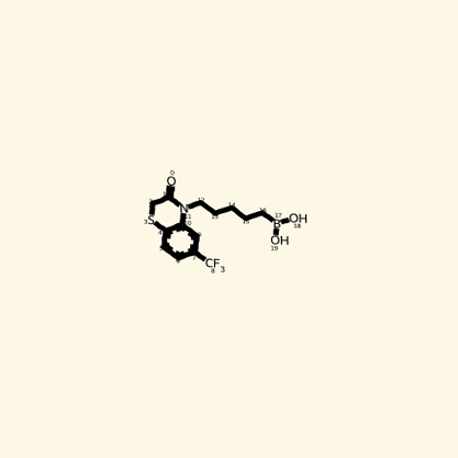 O=C1CSc2ccc(C(F)(F)F)cc2N1CCCCCB(O)O